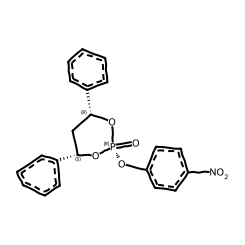 O=[N+]([O-])c1ccc(O[P@]2(=O)O[C@H](c3ccccc3)C[C@H](c3ccccc3)O2)cc1